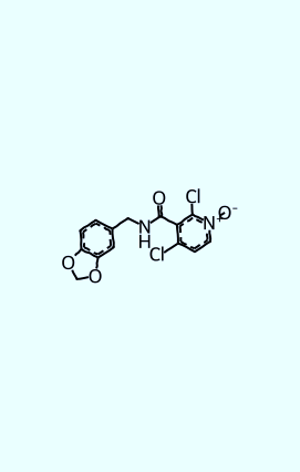 O=C(NCc1ccc2c(c1)OCO2)c1c(Cl)cc[n+]([O-])c1Cl